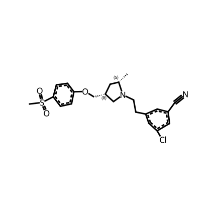 C[C@H]1C[C@@H](COc2ccc(S(C)(=O)=O)cc2)CN1CCc1cc(Cl)cc(C#N)c1